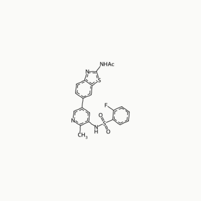 CC(=O)Nc1nc2ccc(-c3cnc(C)c(NS(=O)(=O)c4ccccc4F)c3)cc2s1